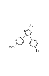 CSc1ccc(-n2nc(C(F)(F)F)cc2-c2ccc(O)cc2)cc1